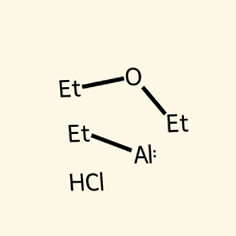 CCOCC.C[CH2][Al].Cl